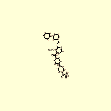 COc1c(NC[C@H]2CCC[C@@H](c3ccccc3)C2)ncnc1C(=O)N1CCC(N2CCC(N(C)S(C)(=O)=O)CC2)CC1